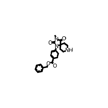 CN1C(=O)N(C2=CC=C(C(=O)OCc3ccccc3)CC2)C2(CCNCC2)C1=O